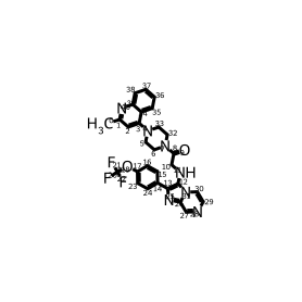 Cc1cc(N2CCN(C(=O)CNc3c(-c4ccc(OC(F)(F)F)cc4)nc4cnccn34)CC2)c2ccccc2n1